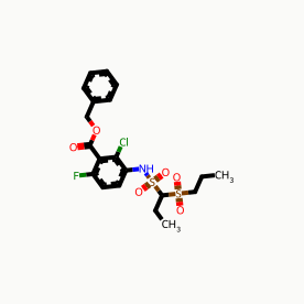 CCCS(=O)(=O)C(CC)S(=O)(=O)Nc1ccc(F)c(C(=O)OCc2ccccc2)c1Cl